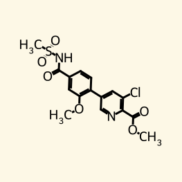 COC(=O)c1ncc(-c2ccc(C(=O)NS(C)(=O)=O)cc2OC)cc1Cl